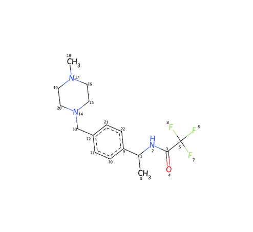 CC(NC(=O)C(F)(F)F)c1ccc(CN2CCN(C)CC2)cc1